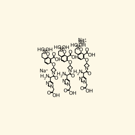 NC(C(=O)N1CC(Oc2ccc3c(c2C(=O)O)O[B-](O)(O)CC3)C1)c1cn(CC(=O)O)cn1.NC(C(=O)N1CC(Oc2ccc3c(c2C(=O)O)O[B-](O)(O)CC3)C1)c1cn(CC(=O)O)cn1.NC(C(=O)N1CC(Oc2ccc3c(c2C(=O)O)O[B-](O)(O)CC3)C1)c1cn(CC(=O)O)cn1.[Na+].[Na+].[Na+]